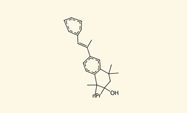 CCCC1(O)CC(C)(C)c2cc(C(C)=Cc3ccccc3)ccc2C1(C)C